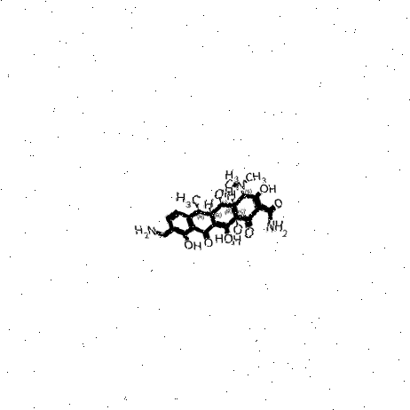 C[C@H]1c2ccc(CN)c(O)c2C(=O)C2=C(O)[C@]3(O)C(=O)C(C(N)=O)=C(O)[C@@H](N(C)C)[C@@H]3[C@@H](O)[C@@H]21